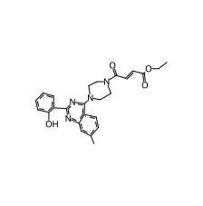 CCOC(=O)/C=C/C(=O)N1CCN(c2nc(-c3ccccc3O)nc3cc(C)ccc23)CC1